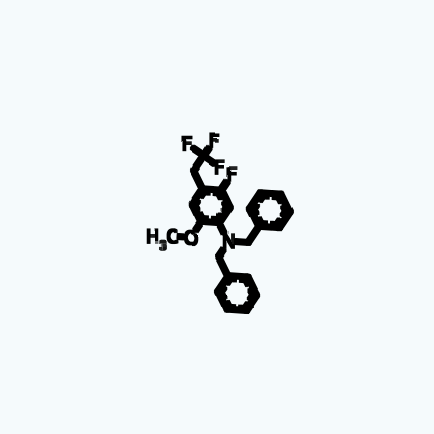 COc1cc(CC(F)(F)F)c(F)cc1N(Cc1ccccc1)Cc1ccccc1